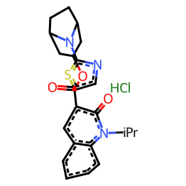 CC(C)n1c(=O)c(C(=O)OC2CC3CCC(C2)N3c2nccs2)cc2ccccc21.Cl